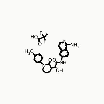 Cc1ccc(N2CCCC(C(O)C(=O)Nc3ccc4c(N)nccc4c3)C2=O)cc1.O=C(O)C(F)(F)F